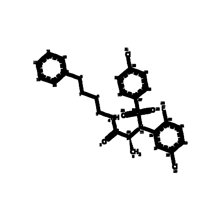 C[C@H](C(=O)NCCCCc1ccccc1)N(c1cc(Cl)ccc1F)S(=O)(=O)c1ccc(Cl)cc1